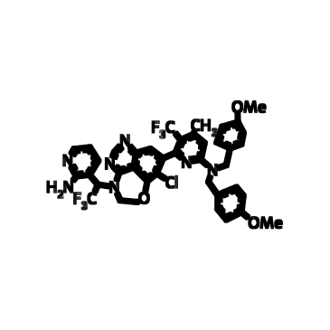 COc1ccc(CN(Cc2ccc(OC)cc2)c2cc(C)c(C(F)(F)F)c(-c3cc4ncnc5c4c(c3Cl)OCCN5C(c3cccnc3N)C(F)(F)F)n2)cc1